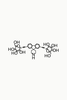 OC[C@H]1O[C@H](C#Cc2ccc3c(c2)C2(CCNCC2)c2cc(C#C[C@H]4O[C@H](CO)[C@@H](O)[C@H](O)[C@@H]4O)ccc2-3)[C@H](O)[C@@H](O)[C@@H]1O